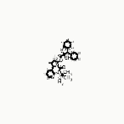 CC(C)(C)OC(=O)N1C(O[SiH2]C(C)(C)C(c2ccccc2)c2ccccc2)CCC1c1cccnc1